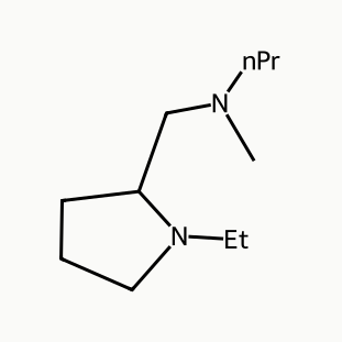 CCCN(C)CC1CCCN1CC